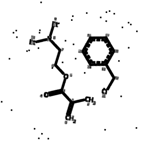 C=C(C)C(=O)OCCN(CC)CC.ClCc1ccccc1